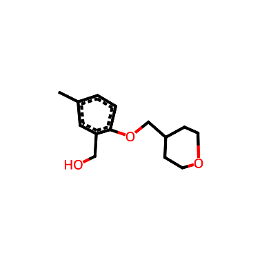 Cc1ccc(OCC2CCOCC2)c(CO)c1